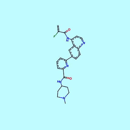 C=C(F)C(=O)Nc1ccnc2ccc(-c3cccc(C(=O)NC4CCN(C)CC4)n3)cc12